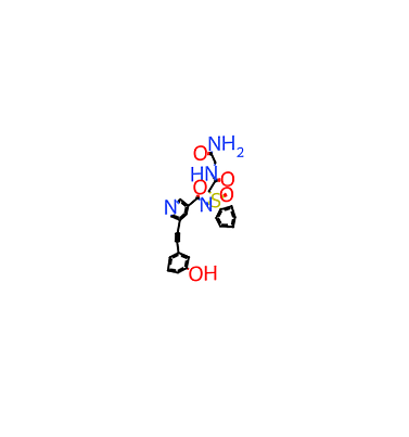 NC(=O)CNC(=O)CS(=O)(=NC(=O)c1cncc(C#Cc2cccc(O)c2)c1)c1ccccc1